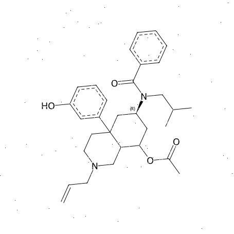 C=CCN1CCC2(c3cccc(O)c3)C[C@@H](N(CC(C)C)C(=O)c3ccccc3)CC(OC(C)=O)C2C1